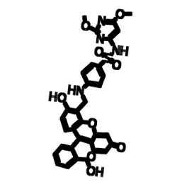 COc1cc(NS(=O)(=O)c2ccc(NCc3c(O)ccc4c(-c5ccccc5C(=O)O)c5ccc(=O)cc-5oc34)cc2)nc(OC)n1